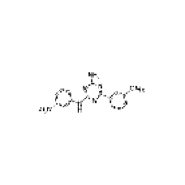 COc1cccc(-c2nc(N)nc(Nc3cccc([N+](=O)[O-])c3)n2)c1